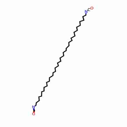 O=C=NCCCCCCCCCCCCCCCCCCCCCCCCCCCCCCCCCCCCCN=C=O